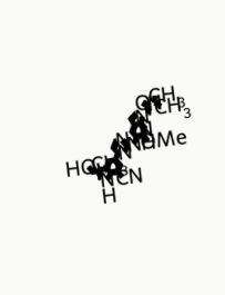 COc1nc2c(ccn2CC(=O)N(C)C)cc1Nc1nccc(-c2cc(C#N)c3c(c2)[C@@](C)(CO)CN3)n1